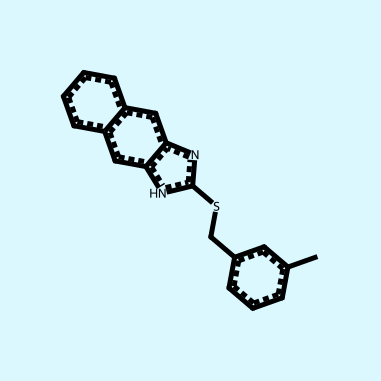 Cc1cccc(CSc2nc3cc4ccccc4cc3[nH]2)c1